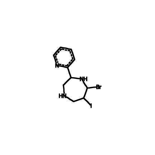 BrC1NC(c2ccccn2)CNCC1I